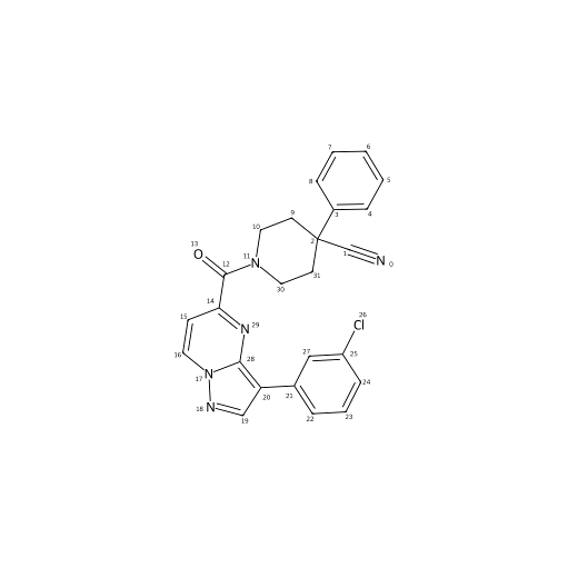 N#CC1(c2ccccc2)CCN(C(=O)c2ccn3ncc(-c4cccc(Cl)c4)c3n2)CC1